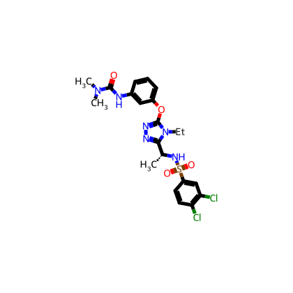 CCn1c(Oc2cccc(NC(=O)N(C)C)c2)nnc1[C@@H](C)NS(=O)(=O)c1ccc(Cl)c(Cl)c1